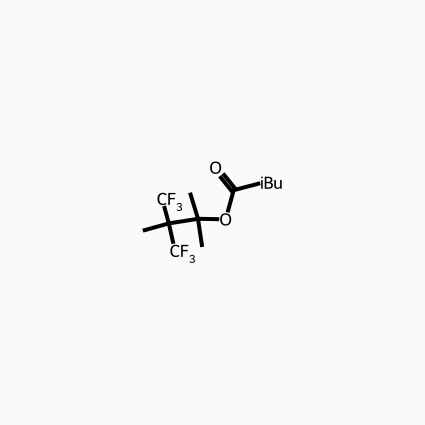 CCC(C)C(=O)OC(C)(C)C(C)(C(F)(F)F)C(F)(F)F